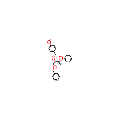 COc1ccc(COC(COCc2ccccc2)[C@H](C)Oc2ccccc2)cc1